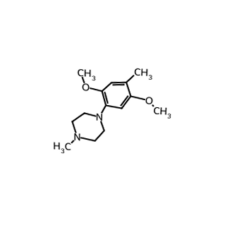 COc1cc(N2CCN(C)CC2)c(OC)cc1C